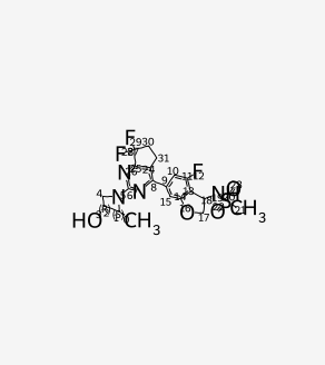 C[C@H]1[C@H](O)CN1c1nc(-c2cc(F)c3c(c2)OCC3NS(C)(=O)=O)c2c(n1)C(F)(F)CC2